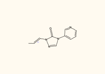 C/C=C/n1ncn(-c2cccnc2)c1=O